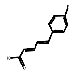 O=C(O)C=CC=Cc1ccc(F)cc1